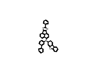 C1=c2oc3ccccc3c2=CCC1N(c1cccc(-c2ccccc2)c1)c1ccc2c3c(cccc13)-c1sc(-c3ccccc3)nc1-2